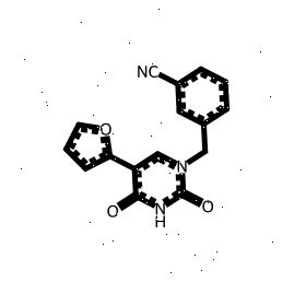 N#Cc1cccc(Cn2cc(-c3ccco3)c(=O)[nH]c2=O)c1